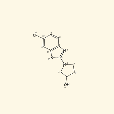 OC1CCN(c2nc3ccc(Cl)cc3s2)C1